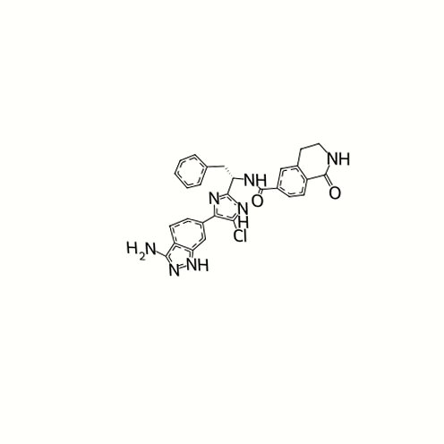 Nc1n[nH]c2cc(-c3nc([C@H](Cc4ccccc4)NC(=O)c4ccc5c(c4)CCNC5=O)[nH]c3Cl)ccc12